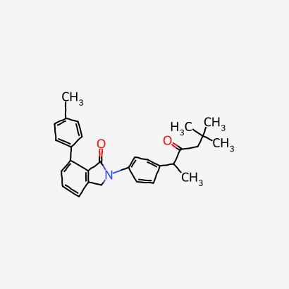 Cc1ccc(-c2cccc3c2C(=O)N(c2ccc(C(C)C(=O)CC(C)(C)C)cc2)C3)cc1